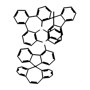 CC1(C)c2ccccc2-c2ccc(N(c3cccc4c3-c3ccccc3C43c4ccccc4C=Cc4ccccc43)c3cccc4c3N(c3ccccc3)c3ccccc3-c3ccccc3-4)cc21